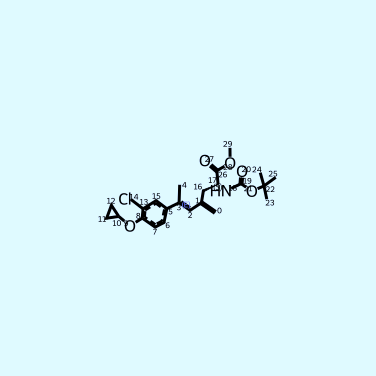 C=C(/C=C(\C)c1ccc(OC2CC2)c(Cl)c1)C[C@H](NC(=O)OC(C)(C)C)C(=O)OC